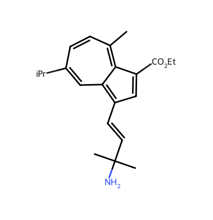 CCOC(=O)c1cc(C=CC(C)(C)N)c2cc(C(C)C)ccc(C)c1-2